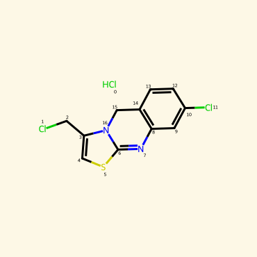 Cl.ClCC1=CSC2=Nc3cc(Cl)ccc3CN12